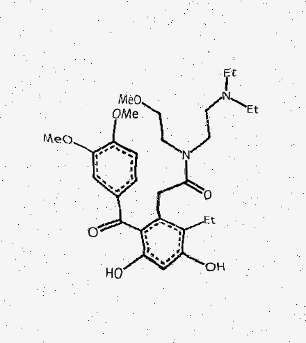 CCc1c(O)cc(O)c(C(=O)c2ccc(OC)c(OC)c2)c1CC(=O)N(CCOC)CCN(CC)CC